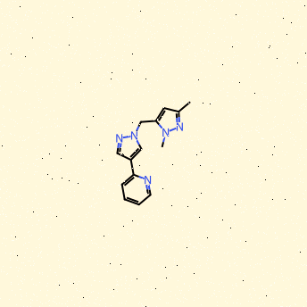 Cc1cc(Cn2cc(-c3ccccn3)cn2)n(C)n1